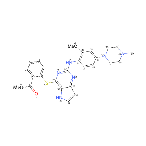 COC(=O)c1ccccc1Sc1nc(Nc2ccc(N3CCN(C)CC3)cc2OC)nc2cc[nH]c12